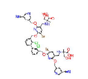 CC(CO)(NCc1cc(Br)c(OCc2cccc(-c3cccc(COc4nc(OCc5cncc(C#N)c5)c(CNC(C)(CO)C(=O)O)cc4Br)c3Cl)c2Cl)nc1OCc1cncc(C#N)c1)C(=O)O